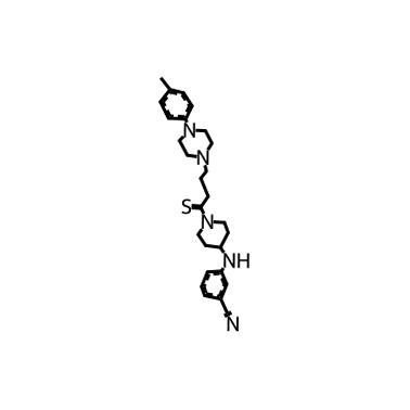 Cc1ccc(N2CCN(CCCC(=S)N3CCC(Nc4cccc(C#N)c4)CC3)CC2)cc1